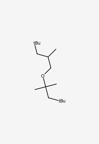 CC(COC(C)(C)CC(C)(C)C)CC(C)(C)C